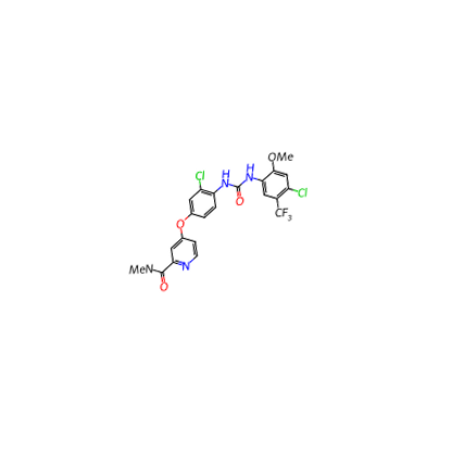 CNC(=O)c1cc(Oc2ccc(NC(=O)Nc3cc(C(F)(F)F)c(Cl)cc3OC)c(Cl)c2)ccn1